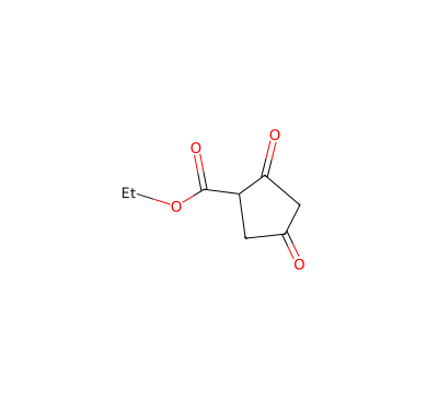 CCOC(=O)C1CC(=O)CC1=O